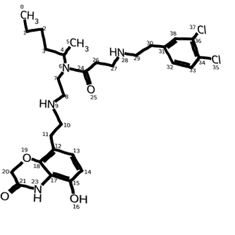 CCCCC(C)N(CCNCCc1ccc(O)c2c1OCC(=O)N2)C(=O)CCNCCc1ccc(Cl)c(Cl)c1